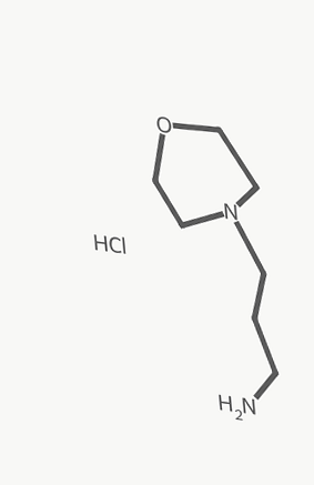 Cl.NCCCN1CCOCC1